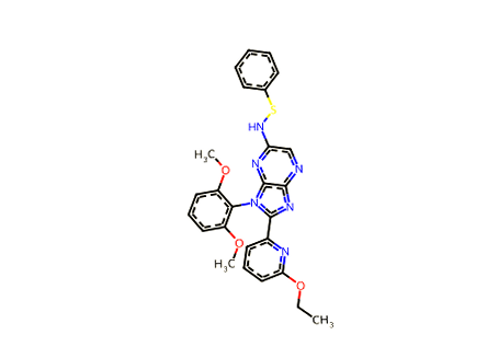 CCOc1cccc(-c2nc3ncc(NSc4ccccc4)nc3n2-c2c(OC)cccc2OC)n1